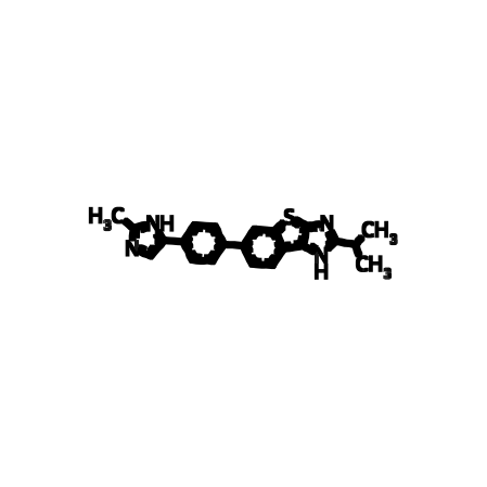 Cc1ncc(-c2ccc(-c3ccc4c(c3)sc3nc(C(C)C)[nH]c34)cc2)[nH]1